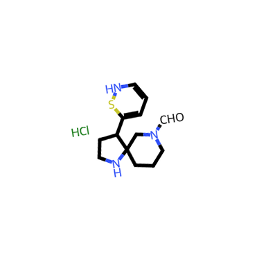 Cl.O=CN1CCCC2(C1)NCCC2C1=CC=CNS1